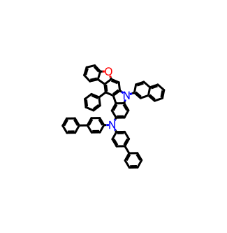 c1ccc(-c2ccc(N(c3ccc(-c4ccccc4)cc3)c3ccc4c(c3)c3c(-c5ccccc5)c5c(cc3n4-c3ccc4ccccc4c3)oc3ccccc35)cc2)cc1